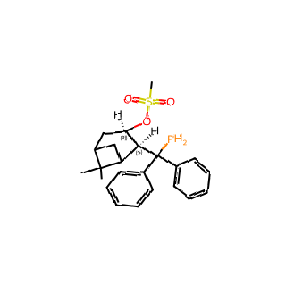 CC1(C)C2CC1[C@H](C(P)(c1ccccc1)c1ccccc1)[C@H](OS(C)(=O)=O)C2